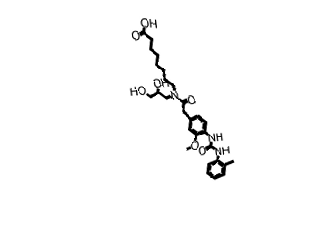 COc1cc(CC(=O)N(CCCCCCCC(=O)O)CC(O)CO)ccc1NC(=O)Nc1ccccc1C